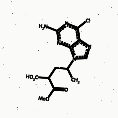 COC(=O)C(CC(C)n1cnc2c(Cl)nc(N)nc21)C(=O)O